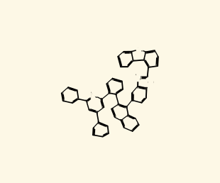 c1ccc(-c2cc(-c3ccccc3)nc(-c3ccccc3-c3ccc4ccccc4c3-c3ccc4oc(-c5cccc6sc7ccccc7c56)nc4c3)c2)cc1